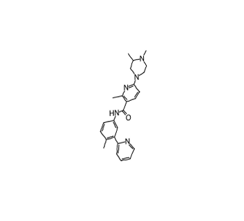 Cc1ccc(NC(=O)c2ccc(N3CCN(C)C(C)C3)nc2C)cc1-c1ccccn1